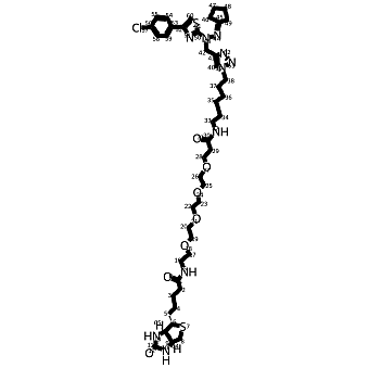 O=C(CCCC[C@@H]1SC[C@@H]2NC(=O)N[C@@H]21)NCCOCCOCCOCCOCCC(=O)NCCCCCCn1cc(CN(N=C2CCCC2)c2nc(-c3ccc(Cl)cc3)cs2)nn1